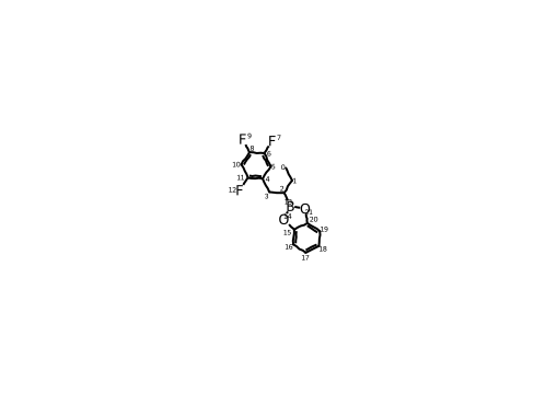 CCC(Cc1cc(F)c(F)cc1F)B1Oc2ccccc2O1